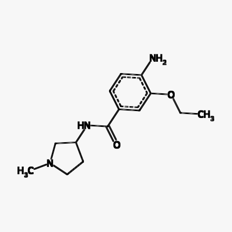 CCOc1cc(C(=O)NC2CCN(C)C2)ccc1N